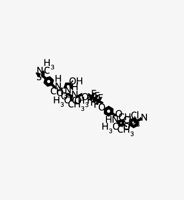 Cc1ncsc1-c1ccc([C@H](C)NC(=O)[C@@H]2C[C@@H](O)CN2C(=O)[C@@H](NC(=O)COCC(F)(F)C(F)(F)C(F)(F)COc2ccc(C(=O)N[C@H]3C(C)(C)[C@H](Oc4ccc(C#N)c(Cl)c4)C3(C)C)cc2)C(C)(C)C)cc1